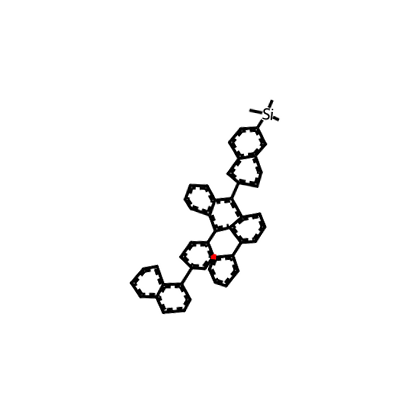 C[Si](C)(C)c1ccc2cc(-c3c4ccccc4c(-c4ccc(-c5cccc6ccccc56)cc4)c4c(-c5ccccc5)cccc34)ccc2c1